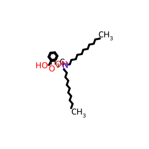 CCCCCCCCCCCCN(C)CCCCCCCCCCCC.O=C(O)c1ccccc1O